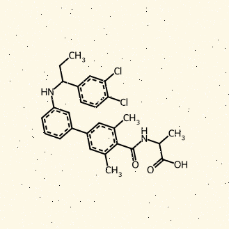 CCC(Nc1cccc(-c2cc(C)c(C(=O)NC(C)C(=O)O)c(C)c2)c1)c1ccc(Cl)c(Cl)c1